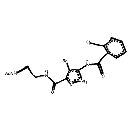 CC(=O)NCCNC(=O)c1n[nH]c(NC(=O)c2ccccc2Cl)c1Br